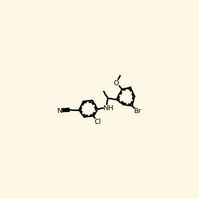 COc1ccc(Br)cc1C(C)Nc1ccc(C#N)cc1Cl